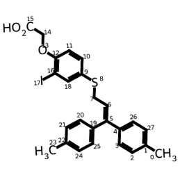 Cc1ccc(C(=CCSc2ccc(OCC(=O)O)c(I)c2)c2ccc(C)cc2)cc1